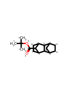 CC(C)(C)OC(=O)C1C2CCC1C1C3CCC(C3)C21